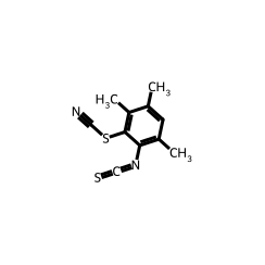 Cc1cc(C)c(N=C=S)c(SC#N)c1C